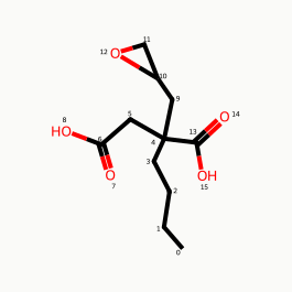 CCCCC(CC(=O)O)(CC1CO1)C(=O)O